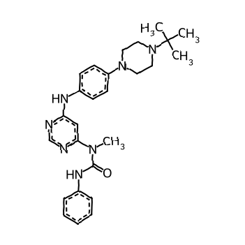 CN(C(=O)Nc1ccccc1)c1cc(Nc2ccc(N3CCN(C(C)(C)C)CC3)cc2)ncn1